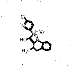 CC1Cc2ccccc2N2C1=C(O)N(c1ccc(Cl)nc1)[NH+]2[O-]